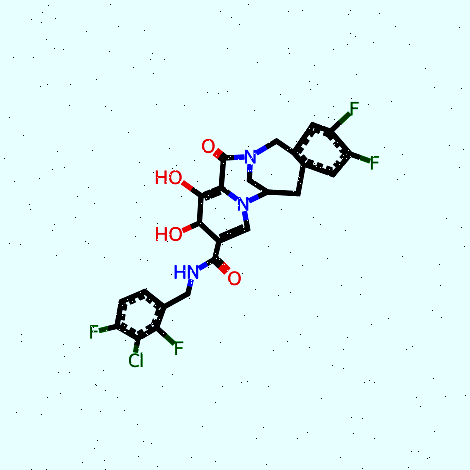 O=C(NCc1ccc(F)c(Cl)c1F)C1=CN2C(=C(O)C1O)C(=O)N1Cc3cc(F)c(F)cc3CC2C1